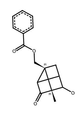 COC1C2C[C@@]3(COC(=O)c4ccccc4)C4C(=O)[C@]1(C)C243